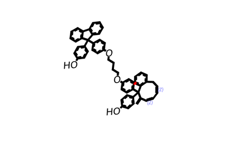 C=C1/C=C\C=C/Cc2ccccc2C1(c1ccc(O)cc1)c1ccc(OCCCCOc2ccc(C3(c4ccc(O)cc4)c4ccccc4-c4ccccc43)cc2)cc1